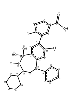 Cc1ccc(C(=O)O)cc1-c1cc2c(cc1Cl)N(c1ccccc1)CC(C1CCCCC1)N(C)S2(O)O